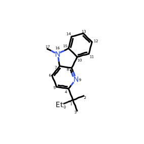 CCC(C)(C)c1ccc2c(n1)c1ccccc1n2C